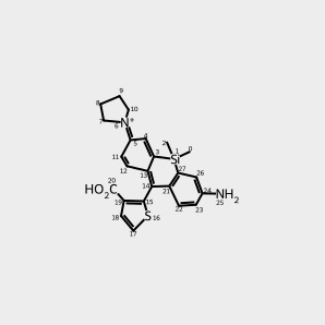 C[Si]1(C)C2=CC(=[N+]3CCCC3)C=CC2=C(c2sccc2C(=O)O)c2ccc(N)cc21